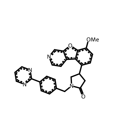 COc1ccc(C2CC(=O)N(Cc3ccc(-c4ncccn4)cc3)C2)c2c1oc1cnccc12